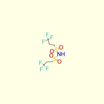 O=S(=O)(CCC(F)(F)F)NS(=O)(=O)CCC(F)(F)F